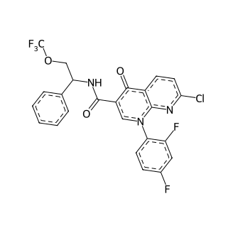 O=C(NC(COC(F)(F)F)c1ccccc1)c1cn(-c2ccc(F)cc2F)c2nc(Cl)ccc2c1=O